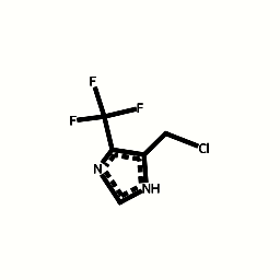 FC(F)(F)c1nc[nH]c1CCl